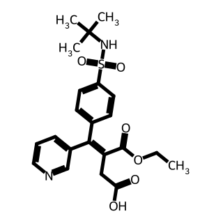 CCOC(=O)/C(CC(=O)O)=C(\c1ccc(S(=O)(=O)NC(C)(C)C)cc1)c1cccnc1